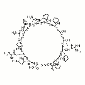 N=C(N)NCCC[C@@H]1N=C(O)[C@H](Cc2ccccc2)N=C(O)[C@H](Cc2ccccc2)N=C(O)[C@@H](N)CSSC[C@@H](C(=O)O)N=C(O)[C@H](Cc2ccc(O)cc2)N=C(O)[C@H](CCCNC(=N)N)N=C(O)[C@@H]2CCCN2C(=O)[C@H](CC(N)=O)N=C(O)[C@H](Cc2cnc[nH]2)N=C(O)[C@H](CC(N)=O)N=C(O)[C@H](Cc2ccccc2)N=C(O)[C@H](Cc2ccccc2)N=C(O)CN=C(O)CN=C1O